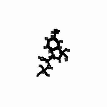 CC(C)(C)OC(=O)N1CC(C)(C)c2cc(Br)ccc21